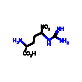 N=C(N)NC(CC[C@H](N)C(=O)O)[N+](=O)[O-]